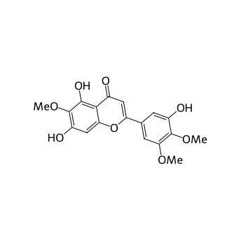 COc1cc(-c2cc(=O)c3c(O)c(OC)c(O)cc3o2)cc(O)c1OC